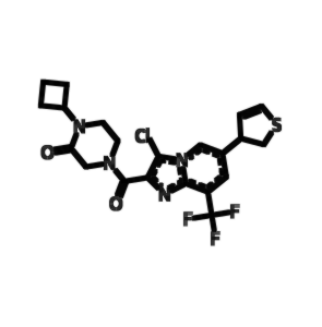 O=C(c1nc2c(C(F)(F)F)cc(C3C=CSC3)cn2c1Cl)N1CCN(C2CCC2)C(=O)C1